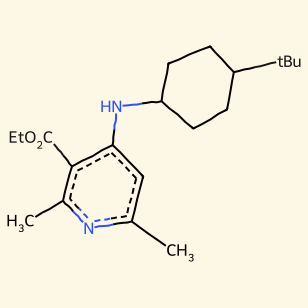 CCOC(=O)c1c(NC2CCC(C(C)(C)C)CC2)cc(C)nc1C